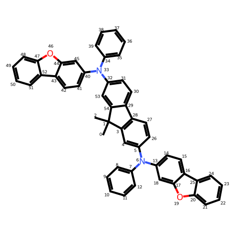 CC1(C)c2cc(N(c3ccccc3)c3ccc4c(c3)oc3ccccc34)ccc2-c2ccc(N(c3ccccc3)c3ccc4c(c3)oc3ccccc34)cc21